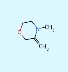 C=C1COCCN1C